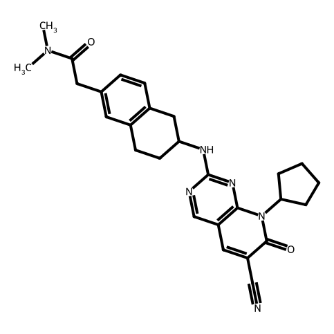 CN(C)C(=O)Cc1ccc2c(c1)CCC(Nc1ncc3cc(C#N)c(=O)n(C4CCCC4)c3n1)C2